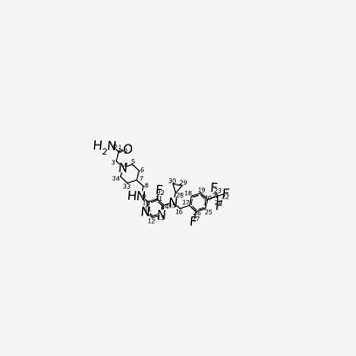 NC(=O)CN1CCC(CNc2ncnc(N(Cc3ccc(C(F)(F)F)cc3F)C3CC3)c2F)CC1